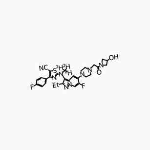 [2H]C([2H])([2H])N(c1nc(-c2ccc(F)cc2)c(C#N)s1)c1c(CC)nn2cc(F)c(N3CCN(CC(=O)N4CC(O)C4)CC3)cc12